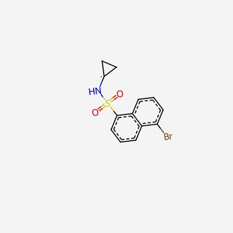 O=S(=O)(N[C]1CC1)c1cccc2c(Br)cccc12